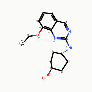 O[C@H]1CC[C@H](Nc2ncc3cccc(OCC(F)(F)F)c3n2)CC1